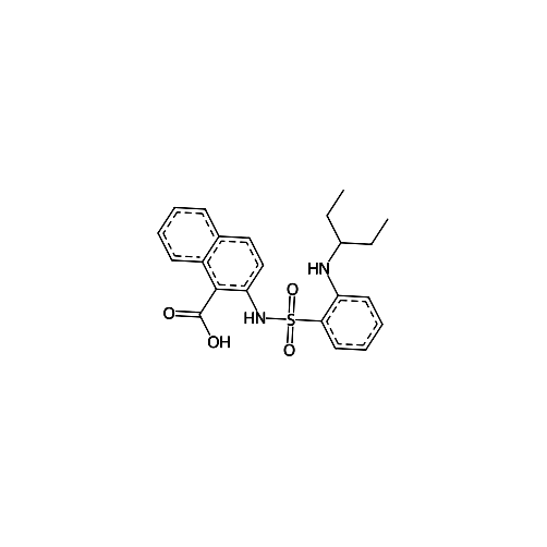 CCC(CC)Nc1ccccc1S(=O)(=O)Nc1ccc2ccccc2c1C(=O)O